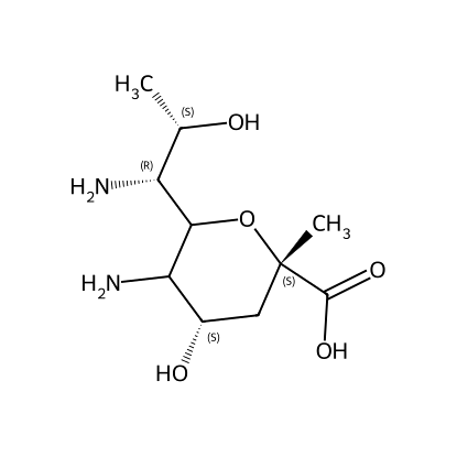 C[C@H](O)[C@@H](N)C1O[C@](C)(C(=O)O)C[C@H](O)C1N